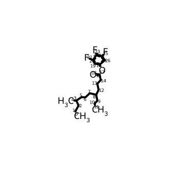 CCCC(C)CCCC(CCC)CCCC(=O)Oc1cc(F)c(F)c(F)c1